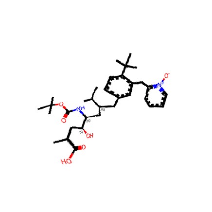 CC(C[C@H](O)[C@H](C[C@H](Cc1ccc(C(C)(C)C)c(Cc2cccc[n+]2[O-])c1)C(C)C)NC(=O)OC(C)(C)C)C(=O)O